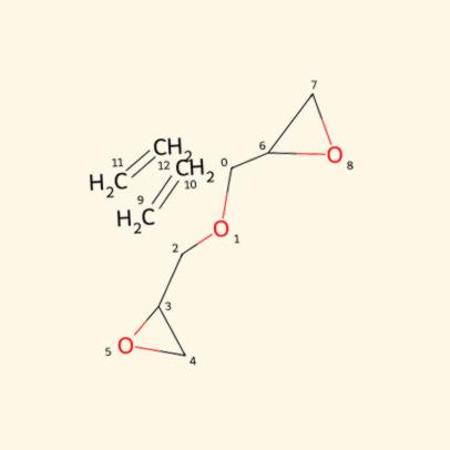 C(OCC1CO1)C1CO1.C=C.C=C